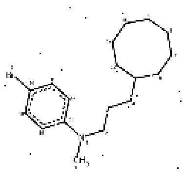 CN(CCCC1CCCCCCC1)c1ccc(Br)cc1